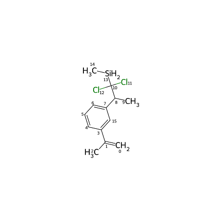 C=C(C)c1cccc(C(C)C(Cl)(Cl)[SiH2]C)c1